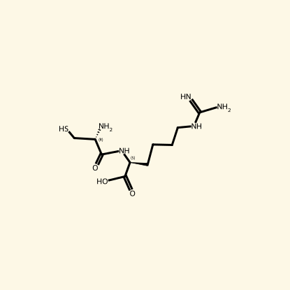 N=C(N)NCCCC[C@H](NC(=O)[C@@H](N)CS)C(=O)O